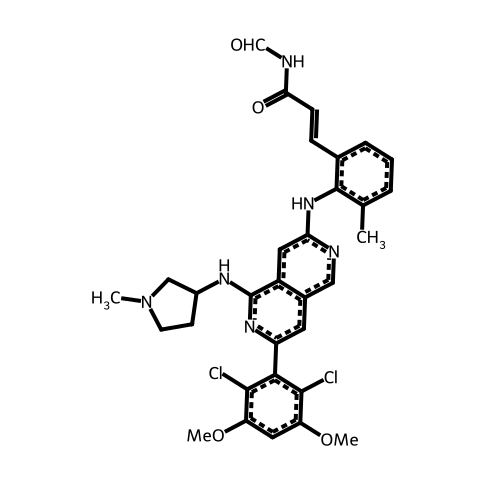 COc1cc(OC)c(Cl)c(-c2cc3cnc(Nc4c(C)cccc4C=CC(=O)NC=O)cc3c(NC3CCN(C)C3)n2)c1Cl